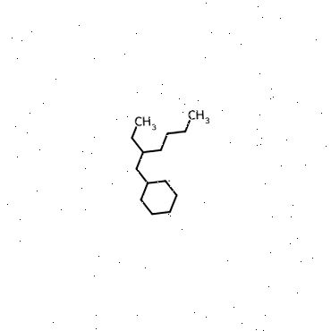 CCCCC(CC)CC1[CH]CCCC1